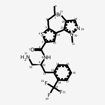 CCCc1sc(C(=O)N[C@H](CN)Cc2ccccc2C(F)(F)F)cc1-c1c(Br)cnn1C